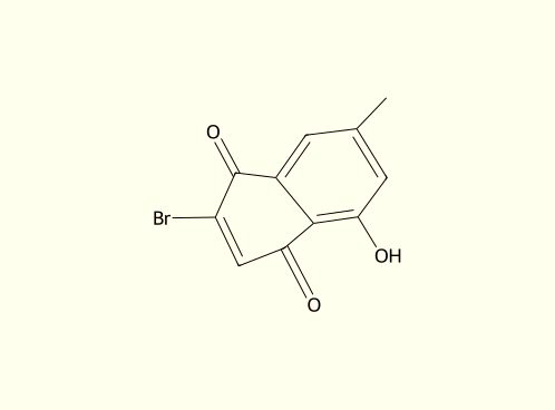 Cc1cc(O)c2c(c1)C(=O)C(Br)=CC2=O